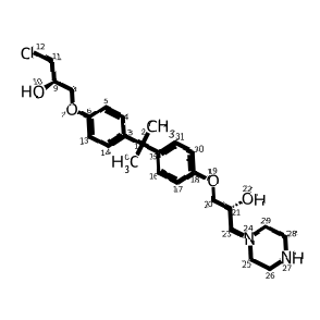 CC(C)(c1ccc(OC[C@@H](O)CCl)cc1)c1ccc(OC[C@H](O)CN2CCNCC2)cc1